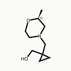 C[C@H]1CN(CC2(CO)CC2)CCO1